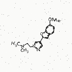 COc1ccc2[c]c(-c3cnn(CCN(C)C)c3)oc2c1